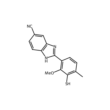 COc1c(-c2nc3cc(C#N)ccc3[nH]2)ccc(C)c1S